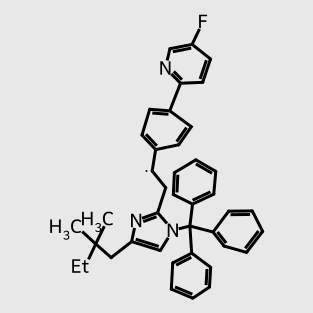 CCC(C)(C)Cc1cn(C(c2ccccc2)(c2ccccc2)c2ccccc2)c(C[CH]c2ccc(-c3ccc(F)cn3)cc2)n1